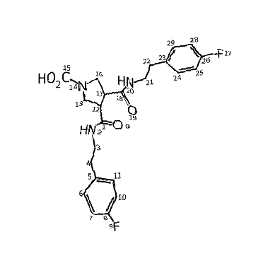 O=C(NCCc1ccc(F)cc1)C1CN(C(=O)O)CC1C(=O)NCCc1ccc(F)cc1